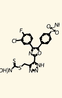 CN(O)C(=S)SCc1nn[nH]c1-c1nc(-c2ccc(F)c(Cl)c2)c(-c2ccc(S(N)(=O)=O)cc2)o1